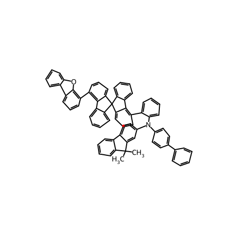 CC1(C)c2ccccc2-c2ccc(N(c3ccc(-c4ccccc4)cc3)c3ccccc3-c3cccc4c3-c3ccccc3C43c4ccccc4-c4c(-c5cccc6c5oc5ccccc56)cccc43)cc21